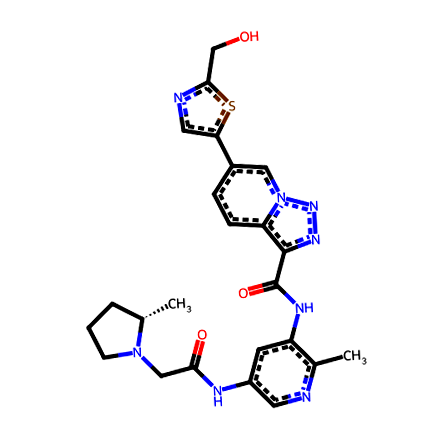 Cc1ncc(NC(=O)CN2CCC[C@@H]2C)cc1NC(=O)c1nnn2cc(-c3cnc(CO)s3)ccc12